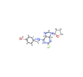 Fc1nc(NCc2ccc(Br)cc2)c2ncn(C3CCCO3)c2n1